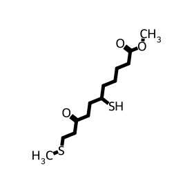 COC(=O)CCCCC(S)CCC(=O)CCSC